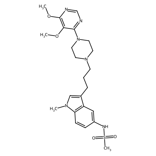 COc1ncnc(N2CCN(CCCc3cn(C)c4ccc(NS(C)(=O)=O)cc34)CC2)c1OC